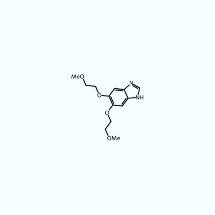 COCCOc1cc2nc[nH]c2cc1OCCOC